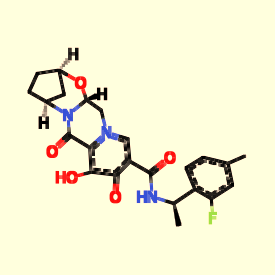 Cc1ccc([C@@H](C)NC(=O)c2cn3c(c(O)c2=O)C(=O)N2[C@H]4CC[C@H](C4)O[C@@H]2C3)c(F)c1